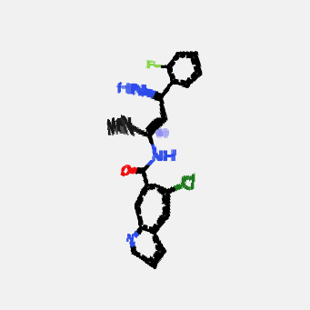 CN/C(=C\C(=N)c1ccccc1F)NC(=O)c1cc2ncccc2cc1Cl